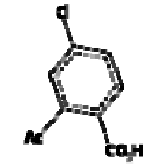 CC(=O)c1cc(Cl)ccc1C(=O)O